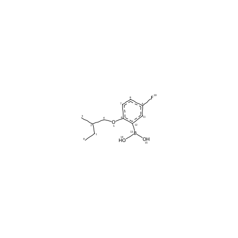 CCC(C)COc1ccc(F)cc1B(O)O